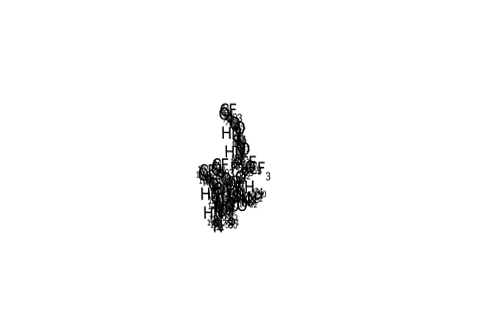 Cc1ccc(N2CCN(C(=O)c3csc(CNC(=O)COc4ccc(OC(F)(F)F)cc4)n3)CC2C)cc1.O=C(COc1ccc(OC(F)(F)F)cc1)NCc1nc(C(=O)NCCc2ccccc2)co1.O=C(COc1ccc(OC(F)(F)F)cc1)NCc1nc(C(=O)NCc2ccc(F)cc2C(F)(F)F)cs1.O=C(COc1ccc(OC(F)(F)F)cc1)NCc1nc(C(=O)NCc2cccnc2)cs1